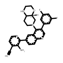 C#Cc1ccnc(-c2ccc3ncc(-c4cc(F)cc(F)c4)c(N4CCC5NCCO[C@@H]5C4)c3c2)c1N